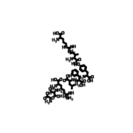 CC(C)CC(N)C(=O)O.CCC(C)C(N)C(=O)O.N=C(N)NCCCC(N)C(=O)O.N=C(N)NCCCC(N)C(=O)O.NC(CO)C(=O)O.NC(Cc1ccc(O)cc1)C(=O)O.NC(Cc1ccccc1)C(=O)O.NCC(=O)O